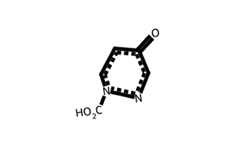 O=C(O)n1ccc(=O)cn1